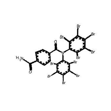 NC(=O)c1ccc(C(=O)N(c2c(Br)c(Br)c(Br)c(Br)c2Br)c2c(Br)c(Br)c(Br)c(Br)c2Br)cc1